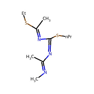 CCCSC(/N=C(\C)SCC)=N/C(C)=N/C